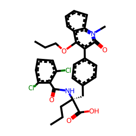 CCCOc1c(-c2ccc(C[C@](CCC)(NC(=O)c3c(Cl)cccc3Cl)C(=O)O)cc2)c(=O)n(C)c2ccccc12